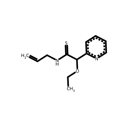 C=CCNC(=S)C(OCC)c1ccccn1